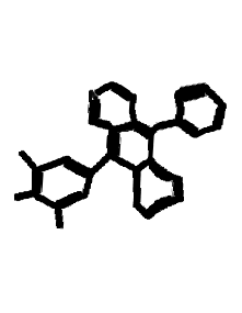 Cc1cc(-c2c3ccccc3c(-c3ccccc3)c3ccncc23)cc(C)c1C